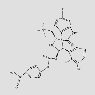 CC(C)(C)C[C@@H]1N[C@H](OC(=O)Nc2ccc(C(N)=O)cc2)[C@H](c2cccc(Br)c2F)[C@]12C(=O)Nc1cc(Cl)ccc12